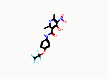 Cc1nc(C)c([N+](=O)[O-])c(O)c1C(=O)Nc1ccc(OC(F)(F)C(F)F)cc1